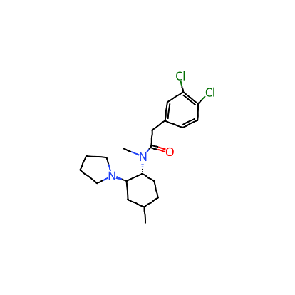 CC1CC[C@@H](N(C)C(=O)Cc2ccc(Cl)c(Cl)c2)[C@H](N2CCCC2)C1